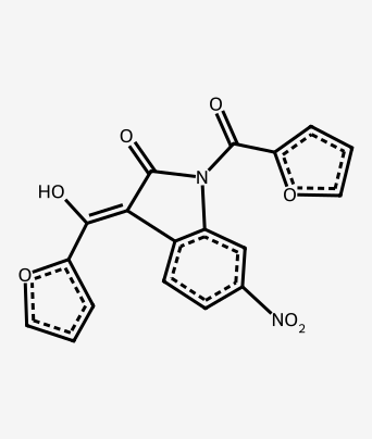 O=C1/C(=C(\O)c2ccco2)c2ccc([N+](=O)[O-])cc2N1C(=O)c1ccco1